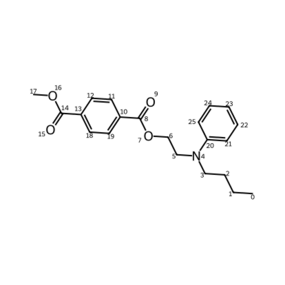 CCCCN(CCOC(=O)c1ccc(C(=O)OC)cc1)c1ccccc1